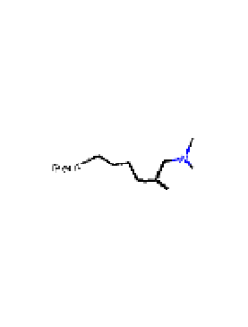 CCCC(C)CCCCC(C)CN(C)C